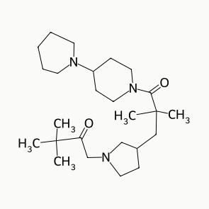 CC(C)(C)C(=O)CN1CCC(CC(C)(C)C(=O)N2CCC(N3CCCCC3)CC2)C1